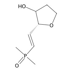 CP(C)(=O)/C=C/[C@H]1OCCC1O